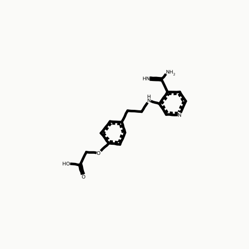 N=C(N)c1ccncc1NCCc1ccc(OCC(=O)O)cc1